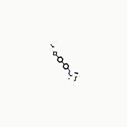 C[C@H](O)c1nccn1[C@H](/C=C/c1ccc(-c2ccc(C3CC(NC(=O)CO)C3)cc2)cc1)CO